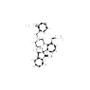 C=Cc1cccc(C2(N3CCN(Cc4ccccc4C)CC3)C(=O)c3ccccc3C2=O)c1